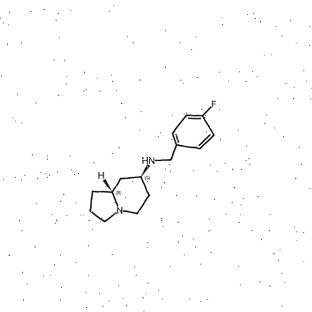 Fc1ccc(CN[C@H]2CCN3CCC[C@@H]3C2)cc1